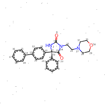 O=C1N[C@@](c2ccccc2)(c2ccc(-c3ccccc3)cc2)C(=O)N1CCN1CCOCC1